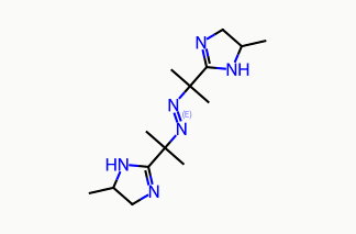 CC1CN=C(C(C)(C)/N=N/C(C)(C)C2=NCC(C)N2)N1